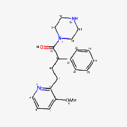 COc1cccnc1CCC(C(=O)N1CCNCC1)c1ccccc1